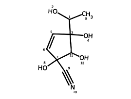 CC(O)C1(O)C=CC(O)(C#N)C1O